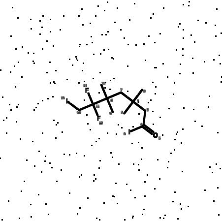 CC(C)(CC(=O)I)CC(C)(C)C(F)(F)CI